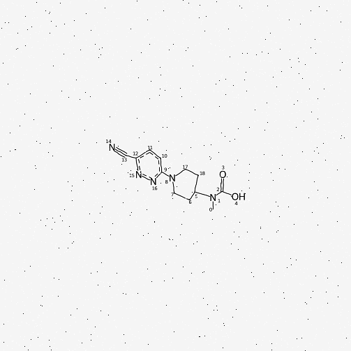 CN(C(=O)O)C1CCN(c2ccc(C#N)nn2)CC1